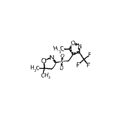 Cc1onc(C(F)(F)F)c1CS(=O)(=O)C1=NOC(C)(C)C1